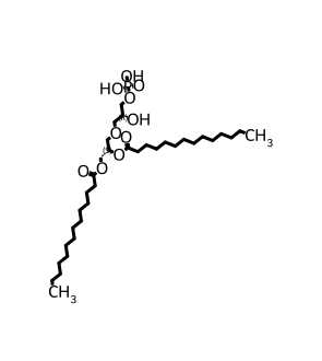 CCCCCCCCCCCCCC(=O)OC[C@H](COC[C@@H](O)COP(=O)(O)O)OC(=O)CCCCCCCCCCCCC